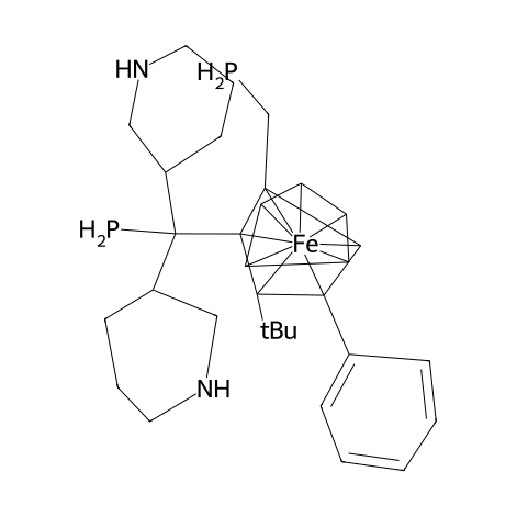 CC(C)(C)[C]12[C]3(c4ccccc4)[CH]4[C]5(CP)[C]1(C(P)(C1CCCNC1)C1CCCNC1)[Fe]45321678[CH]2[CH]1[CH]6[CH]7[CH]28